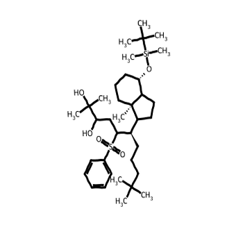 CC(C)(C)CCC[C@H](C1CCC2[C@@H](O[Si](C)(C)C(C)(C)C)CCC[C@]12C)C(CC(O)C(C)(C)O)S(=O)(=O)c1ccccc1